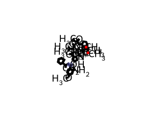 C=C(/C=C(/O[C@@H]1C=C(C(=O)N[C@H](C(=O)N[C@H](C(=O)OC)C2CCCCC2)C(C)C)[C@@H](C(=O)N[C@@H](CCC)C(=O)OC(C)(C)C)C1)c1ccc(OC)cc1N)c1ccccc1